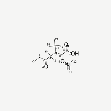 CCC(=O)C(C)(C)C(C(O[SiH](C)C)C(=O)O)C(C)(C)C